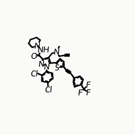 C#CCN(C)Cc1c(C(=O)NN2CCCCC2)nn(-c2ccc(Cl)cc2Cl)c1-c1ccc(C#Cc2ccc(C(F)(F)F)cc2)s1